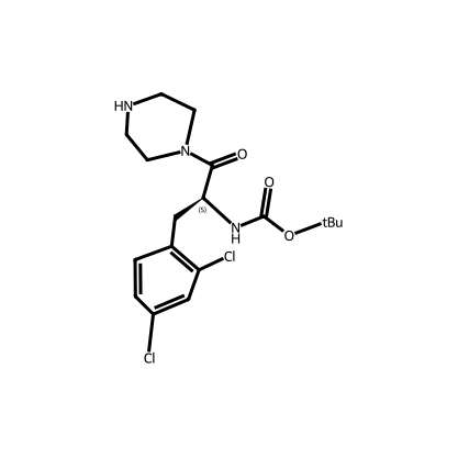 CC(C)(C)OC(=O)N[C@@H](Cc1ccc(Cl)cc1Cl)C(=O)N1CCNCC1